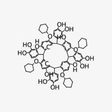 Oc1ccc(C2c3cc(c(OC4CCCCC4)cc3O)C(c3ccc(O)c(O)c3)c3cc(c(OC4CCCCC4)cc3O)C(c3ccc(O)c(O)c3)c3cc(c(OC4CCCCC4)cc3O)C(c3ccc(O)c(O)c3)c3cc2c(OC2CCCCC2)cc3O)cc1O